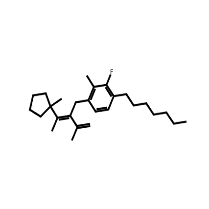 C=C(C)/C(Cc1ccc(CCCCCCC)c(F)c1C)=C(\C)C1(C)CCCC1